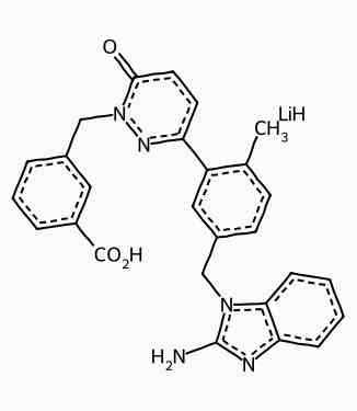 Cc1ccc(Cn2c(N)nc3ccccc32)cc1-c1ccc(=O)n(Cc2cccc(C(=O)O)c2)n1.[LiH]